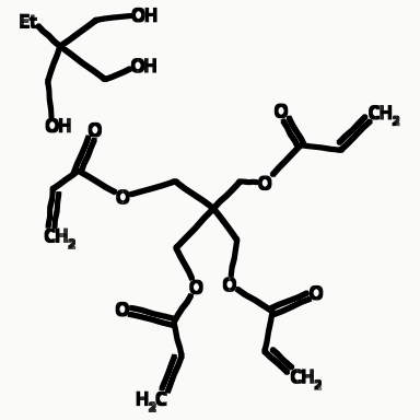 C=CC(=O)OCC(COC(=O)C=C)(COC(=O)C=C)COC(=O)C=C.CCC(CO)(CO)CO